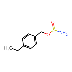 CCc1ccc(COS(N)=O)cc1